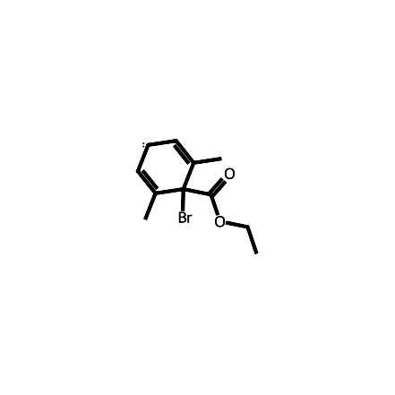 CCOC(=O)C1(Br)C(C)=C[C]C=C1C